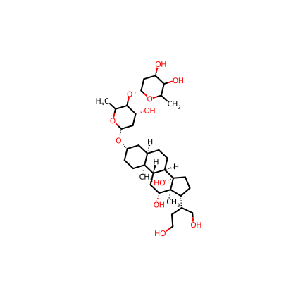 CC1O[C@H](OC2C(C)O[C@@H](O[C@H]3CC[C@@]4(C)[C@H](CC[C@@H]5[C@@H]4C[C@@H](O)[C@]4(C)[C@@H](C(CO)CCO)CC[C@]54O)C3)C[C@H]2O)C[C@@H](O)C1O